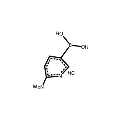 CNc1ccc(B(O)O)cn1.Cl